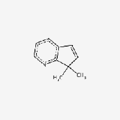 CC1(C)C=Cc2cccnc21